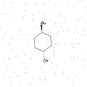 CCC(C)[C@H]1CC[C@H](C#N)CC1